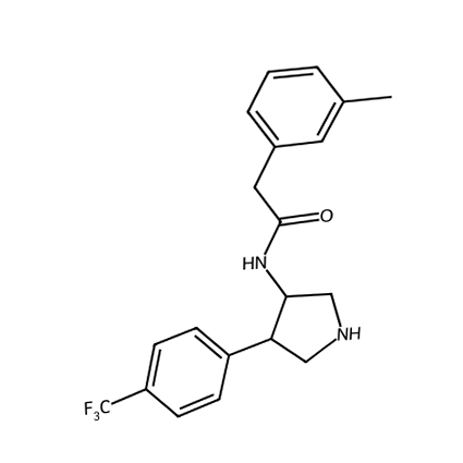 Cc1cccc(CC(=O)NC2CNCC2c2ccc(C(F)(F)F)cc2)c1